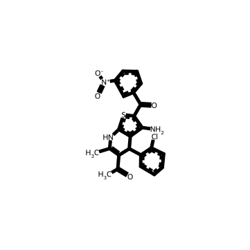 CC(=O)C1=C(C)Nc2sc(C(=O)c3cccc([N+](=O)[O-])c3)c(N)c2C1c1ccccc1Cl